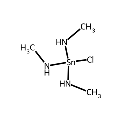 C[NH][Sn]([Cl])([NH]C)[NH]C